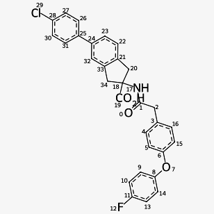 O=C(Cc1ccc(Oc2ccc(F)cc2)cc1)NC1(C(=O)O)Cc2ccc(-c3ccc(Cl)cc3)cc2C1